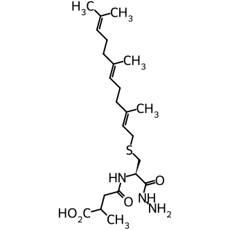 CC(C)=CCC/C(C)=C/CC/C(C)=C/CSC[C@H](NC(=O)CC(C)C(=O)O)C(=O)NN